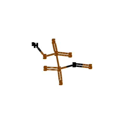 [3H]SS(=S)(=S)S(=S)(=S)B=S